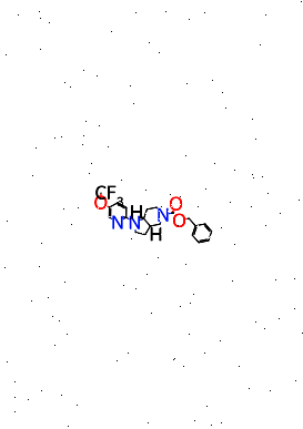 O=C(OCc1ccccc1)N1CC[C@@H]2[C@@H](CCN2c2ccc(OC(F)(F)F)cn2)C1